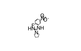 N=C(Nc1cc([N+](=O)[O-])ccc1F)N1CCCC1